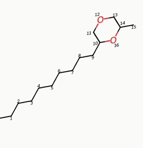 CCCCCCCCCCC1COCC(C)O1